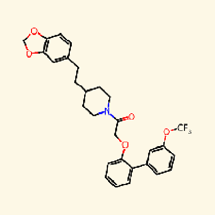 O=C(COc1ccccc1-c1cccc(OC(F)(F)F)c1)N1CCC(CCc2ccc3c(c2)OCO3)CC1